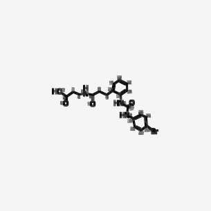 O=C(O)CCNC(=O)CCc1ccccc1NC(=O)Nc1ccc(Br)cc1